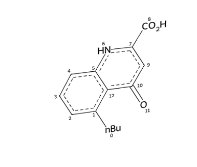 CCCCc1cccc2[nH]c(C(=O)O)cc(=O)c12